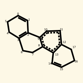 C1=CC2=C(CC1)CCc1c2ccc2c1C=CCC2